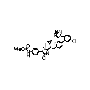 COC(=O)Nc1ccc(-c2[nH]c([C@@H](Cc3ccc(-c4cc(Cl)ccc4-n4cnnn4)cn3)C3CC3)nc2Cl)cc1